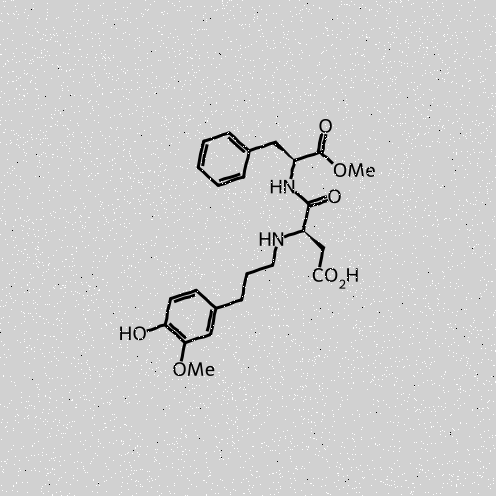 COC(=O)[C@H](Cc1ccccc1)NC(=O)[C@@H](CC(=O)O)NCCCc1ccc(O)c(OC)c1